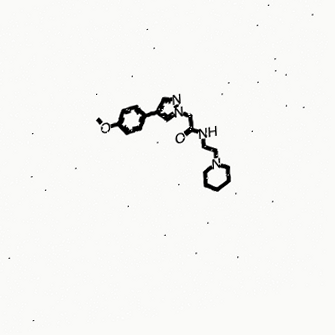 COc1ccc(-c2cnn(CC(=O)NCCN3CCCCC3)c2)cc1